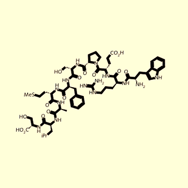 CSCC[C@H](NC(=O)[C@H](Cc1ccccc1)NC(=O)[C@H](CO)NC(=O)[C@@H]1CCCN1C(=O)[C@H](CCC(=O)O)NC(=O)[C@H](CCCNC(=N)N)NC(=O)[C@@H](N)Cc1c[nH]c2ccccc12)C(=O)N[C@@H](C)C(=O)N[C@@H](CC(C)C)C(=O)N[C@@H](CO)C(=O)O